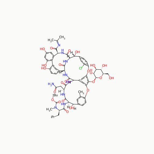 CC(C)=NC(=O)[C@H]1NC(=O)[C@H]2NC(=O)[C@H](NC(=O)[C@@H]3NC(=O)[C@H](CC(N)=O)NC(=O)[C@H](NC(=O)[C@@H](CC(C)C)N(C)C(=O)OC(C)(C)C)[C@H](O)c4ccc(c(C)c4)Oc4cc3cc(c4O[C@@H]3O[C@H](CO)[C@@H](O)[C@H](O)[C@H]3O)Oc3ccc(cc3Cl)[C@H]2O)c2ccc(O)c(c2)-c2c(O)cc(O)cc21